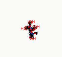 CC(C)CCCCC[N+]1=C(/C=C/C2=C(Oc3ccc(S(=O)(=O)O)cc3)C(=C/C=C3/N(CCCCS(=O)(=O)O)c4ccc(S(=O)(=O)O)cc4C3(C)C)/CCC2)C(C)(C)c2cc(S(=O)(=O)O)ccc21